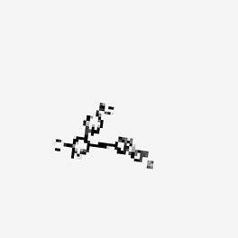 CC(=O)C1CCN(c2cc(Cl)ncc2C#Cc2cnn(C(F)(F)F)c2)CC1